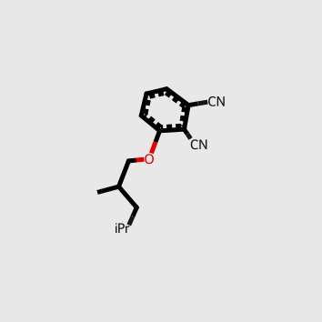 CC(C)CC(C)COc1cccc(C#N)c1C#N